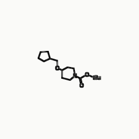 CC(C)(C)OC(=O)N1CCC(OCC2CCCC2)CC1